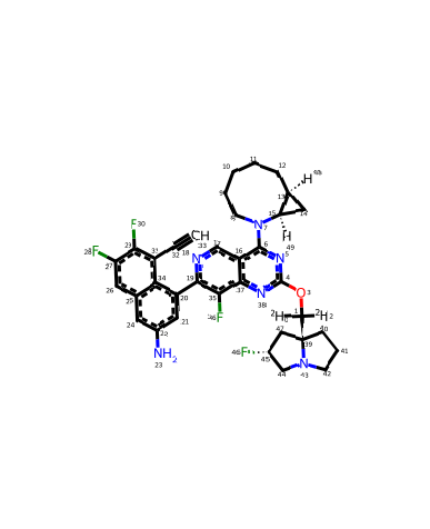 [2H]C([2H])(Oc1nc(N2CCCCC[C@H]3C[C@H]32)c2cnc(-c3cc(N)cc4cc(F)c(F)c(C#C)c34)c(F)c2n1)[C@@]12CCCN1C[C@H](F)C2